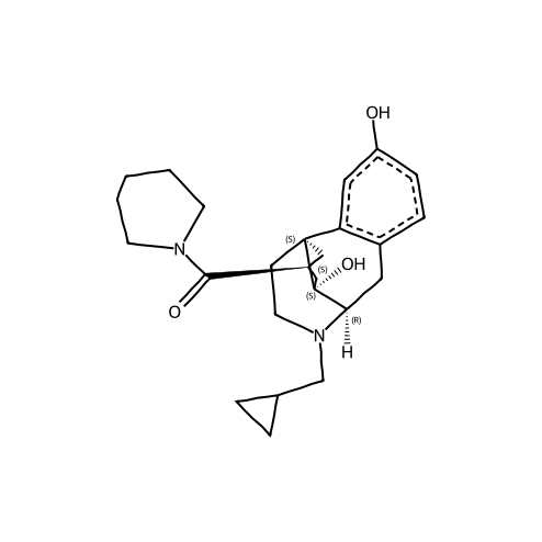 O=C([C@H]1C[C@]23CCN(CC4CC4)[C@H](Cc4ccc(O)cc42)[C@]3(O)C1)N1CCCCC1